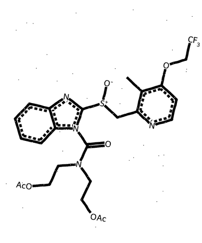 CC(=O)OCCN(CCOC(C)=O)C(=O)n1c([S+]([O-])Cc2nccc(OCC(F)(F)F)c2C)nc2ccccc21